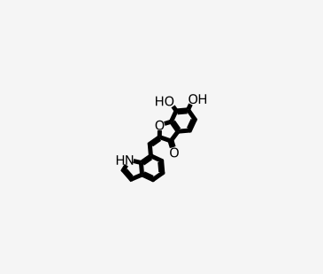 O=C1/C(=C\c2cccc3cc[nH]c23)Oc2c1ccc(O)c2O